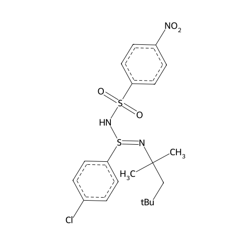 CC(C)(C)CC(C)(C)N=S(NS(=O)(=O)c1ccc([N+](=O)[O-])cc1)c1ccc(Cl)cc1